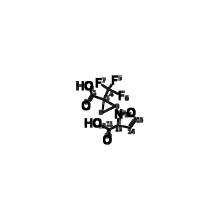 O=C(O)C1(C(F)(F)F)CC1.O=C(O)c1ccon1